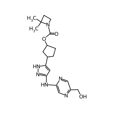 CC1(C)CCN1C(=O)OC1CCC(c2cc(Nc3cnc(CO)cn3)n[nH]2)C1